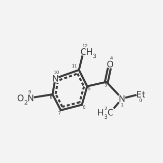 CCN(C)C(=O)c1ccc([N+](=O)[O-])nc1C